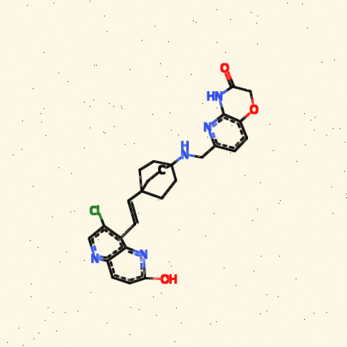 O=C1COc2ccc(CNC34CCC(C=Cc5c(Cl)cnc6ccc(O)nc56)(CC3)CC4)nc2N1